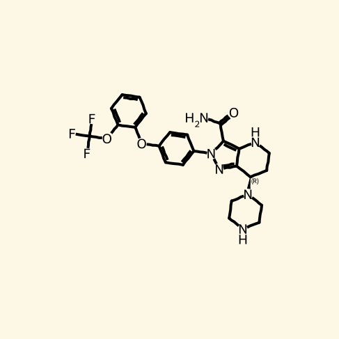 NC(=O)c1c2c(nn1-c1ccc(Oc3ccccc3OC(F)(F)F)cc1)[C@H](N1CCNCC1)CCN2